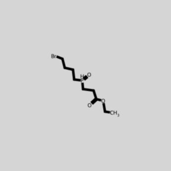 CCOC(=O)CC[PH](=O)CCCCBr